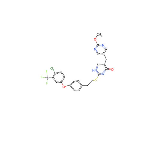 COc1ncc(Cc2c[nH]c(SCCc3ccc(Oc4ccc(Cl)c(C(F)(F)F)c4)cc3)nc2=O)cn1